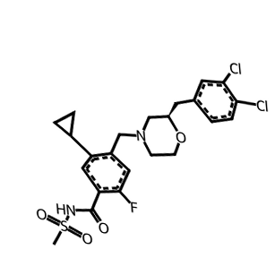 CS(=O)(=O)NC(=O)c1cc(C2CC2)c(CN2CCO[C@H](Cc3ccc(Cl)c(Cl)c3)C2)cc1F